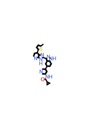 Cc1ccc(-c2ccnc3[nH]c(-c4n[nH]c5ccc(-c6cncc(NC(=O)C7CC7)c6)cc45)nc23)s1